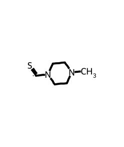 CN1CCN([C]=S)CC1